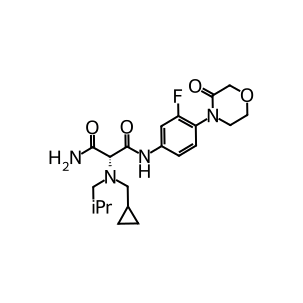 CC(C)CN(CC1CC1)[C@H](C(N)=O)C(=O)Nc1ccc(N2CCOCC2=O)c(F)c1